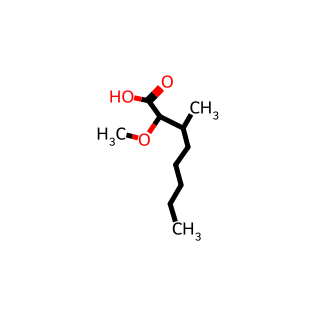 CCCCCC(C)C(OC)C(=O)O